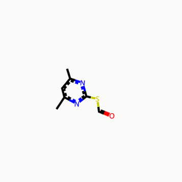 Cc1cc(C)nc(SC=O)n1